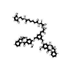 COc1cc2c(cc1OCc1cc(COc3cc4c(cc3OC)C(=O)N3c5ccccc5C[C@H]3CN4)cc(CC(=O)[C@H](C)NC(=O)[C@H](C)NC(=O)CCCCC(=O)NCCN3C(=O)C=CC3=O)c1)N=C[C@@H]1Cc3ccccc3N1C2=O